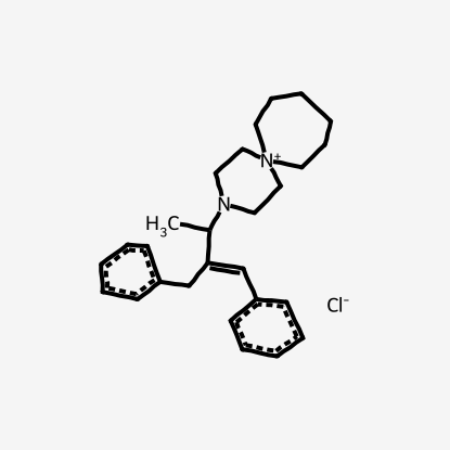 CC(C(=Cc1ccccc1)Cc1ccccc1)N1CC[N+]2(CCCCCC2)CC1.[Cl-]